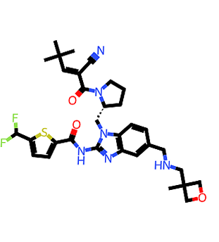 CC(C)(C)C=C(C#N)C(=O)N1CCC[C@@H]1Cn1c(NC(=O)c2ccc(C(F)F)s2)nc2cc(CNCC3(C)COC3)ccc21